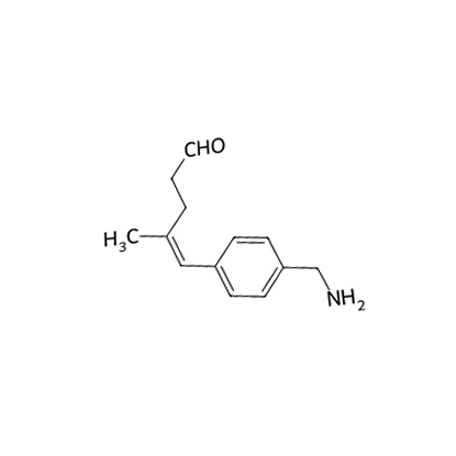 CC(=Cc1ccc(CN)cc1)CCC=O